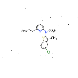 CC(=O)OCCc1cccc(N(c2sc3ccc(Cl)cc3c2C)S(=O)(=O)O)n1